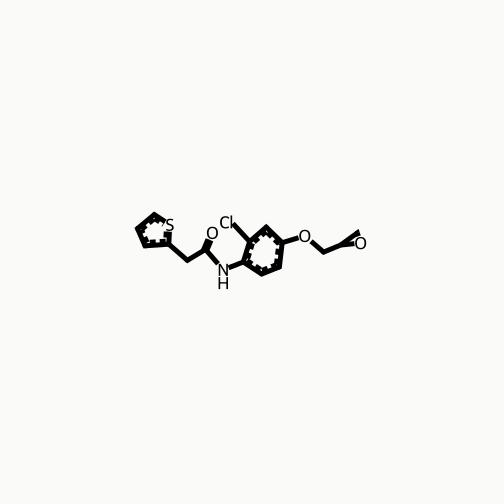 O=C(Cc1cccs1)Nc1ccc(OCC2CO2)cc1Cl